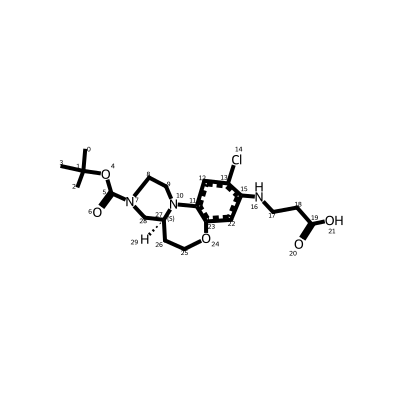 CC(C)(C)OC(=O)N1CCN2c3cc(Cl)c(NCCC(=O)O)cc3OCC[C@H]2C1